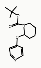 CC(C)(C)OC(=O)N1CCCCC1Oc1ccncc1